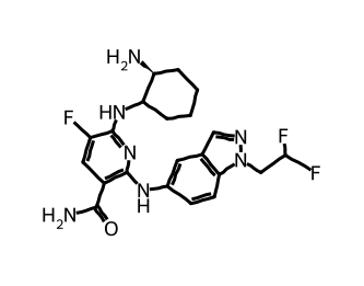 NC(=O)c1cc(F)c(NC2CCCC[C@@H]2N)nc1Nc1ccc2c(cnn2CC(F)F)c1